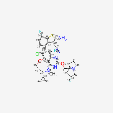 CN1c2nc(OC[C@@]34CCCN3C[C@H](F)C4)nc3c(F)c(-c4ccc(F)c5sc(N)c(C#N)c45)c(Cl)c(c23)OCC[C@H]1C1CC1